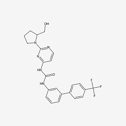 O=C(Nc1cccc(-c2ccc(C(F)(F)F)cc2)c1)Nc1ccnc(N2CCCC2CO)n1